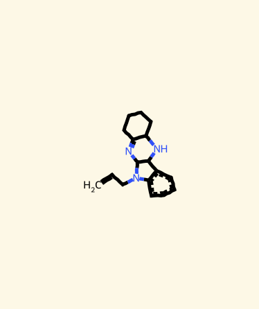 C=CCN1c2ccccc2C2NC3CCCCC3=NC21